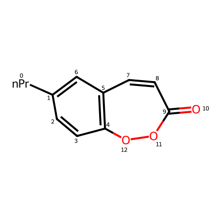 CCCc1ccc2c(c1)C=CC(=O)OO2